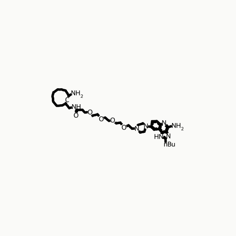 CCCCc1nc2c(N)nc3ccc(N4CCN(CCOCCOCCOCCOCCC(=O)NCC5CCCCCCCCC(N)C5)CC4)cc3c2[nH]1